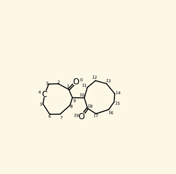 O=C1CCCCCCCC1C1CCCCCCCC1=O